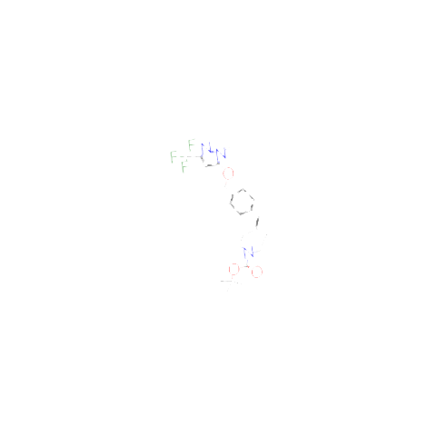 Cn1nc(C(F)(F)F)cc1OCc1ccc(C=C2CCN(C(=O)OC(C)(C)C)CC2)cc1